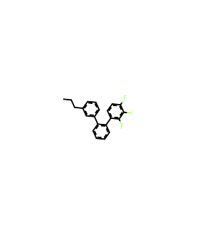 CCCc1cccc(-c2ccccc2-c2ccc(F)c(F)c2F)c1